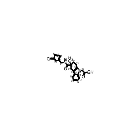 CC1(C(=O)N(Cl)Cc2cccc(Cl)c2)CCc2c(c3ccccc3n2CC(=O)O)C1